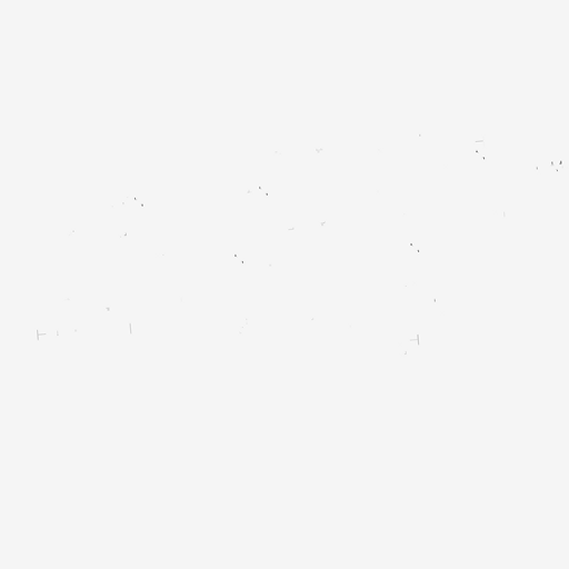 COC(=O)Nc1ccc2c(c1)NC(=O)C(C)CCCC(N1CCC(c3c(C#N)ccc(C)c3F)=CC1=O)c1cc-2ccn1